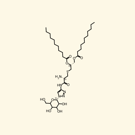 CCCCCCCCCCC(=O)OC[C@H](CSC[C@@H](N)C(=O)Nc1cn([C@H]2OC(CO)C(O)C(O)C2O)nn1)OC(=O)CCCCCCCCCC